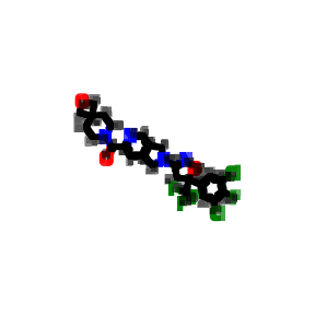 O=C(c1cc2c(cn1)CN(C1=NOC(c3cc(Cl)c(F)c(Cl)c3)(C(F)(F)F)C1)C2)N1CCC2(CC1)COC2